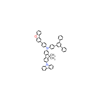 CC1(C)c2cc(N(c3ccc(-c4cc(-c5ccccc5)cc(-c5ccccc5)c4)cc3)c3ccc(-c4ccc5oc6ccccc6c5c4)cc3)ccc2-c2ccc(-n3c4ccccc4c4ccccc43)cc21